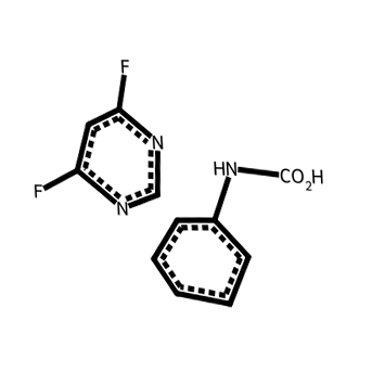 Fc1cc(F)ncn1.O=C(O)Nc1ccccc1